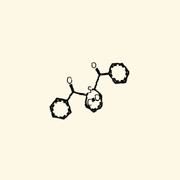 O=C(c1ccccc1)C1SC(C(=O)c2ccccc2)c2ccc1cc2